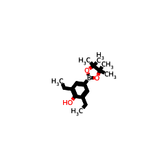 CCc1cc(B2OC(C)(C)C(C)(C)O2)cc(CC)c1O